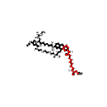 CN(CCOCCOCCN(C)C(=O)C1CC(N=[N+]=[N-])CN1)C(=O)CCC12c3cc(NC(=O)CCCCCCCNC(=O)OC(C)(C)C)ccc3C(c3ccc(NC(=O)CCCCCCCNC(=O)OC(C)(C)C)cc31)c1ccc(NC(=O)CCCCCCCNC(=O)OC(C)(C)C)cc12